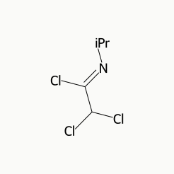 CC(C)N=C(Cl)C(Cl)Cl